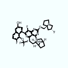 Oc1cc(-c2nc3c4c(nc(OC[C@@]56CCCN5C[C@H](F)C6)nc4c2F)N2C[C@H]4CC[C@H](N4)[C@H]2CC3)c2c(OC(F)(F)F)c(F)ccc2c1